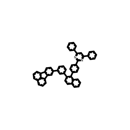 c1ccc(-c2cc(-c3ccccc3)nc(-c3ccc(-c4c(-c5cccc(-c6ccc7c(c6)-c6cccc8cccc-7c68)c5)ccc5ccccc45)cc3)n2)cc1